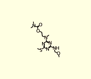 COCNc1nc(SC)nc(N(C)CCOC(=O)N(C)C)n1